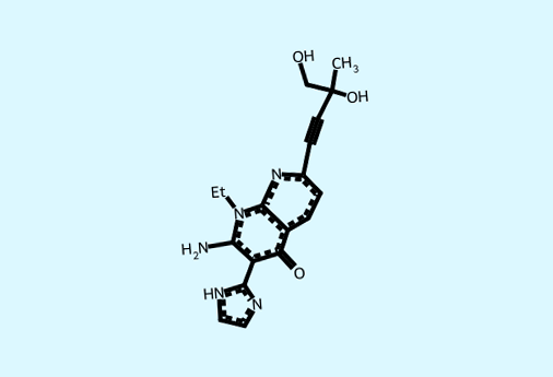 CCn1c(N)c(-c2ncc[nH]2)c(=O)c2ccc(C#CC(C)(O)CO)nc21